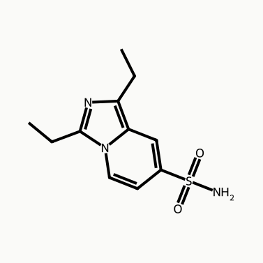 CCc1nc(CC)n2ccc(S(N)(=O)=O)cc12